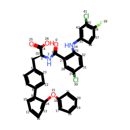 O=C(N[C@@H](Cc1ccc(-c2ccccc2Oc2ccccc2)cc1)C(=O)O)c1cc(Cl)ccc1Nc1ccc(F)c(Cl)c1